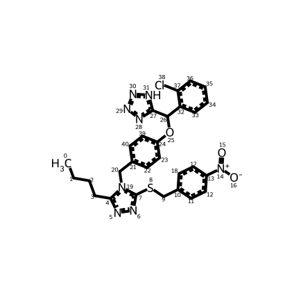 CCCCc1nnc(SCc2ccc([N+](=O)[O-])cc2)n1Cc1ccc(OC(c2nnn[nH]2)c2ccccc2Cl)cc1